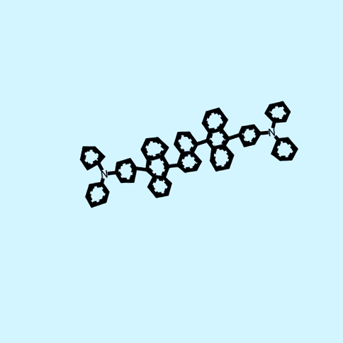 c1ccc(N(c2ccccc2)c2ccc(-c3c4ccccc4c(-c4cccc5c(-c6c7ccccc7c(-c7ccc(N(c8ccccc8)c8ccccc8)cc7)c7ccccc67)cccc45)c4ccccc34)cc2)cc1